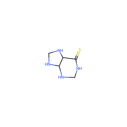 S=C1NCNC2NCNC12